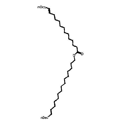 CCCCCCCCC=CCCCCCCCCCCCC(=O)OCCCCCCCCCCCCCCCCCCCCCCCCC